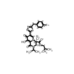 CC(C)CNC(=O)[C@@]1(C)CN(C(C)C)C(=O)c2c(O)c(=O)c(-c3nnc(Cc4ccc(F)cc4)s3)cn21